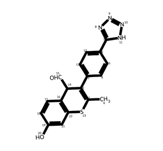 CC1=C(c2ccc(-c3nnn[nH]3)cc2)C(C=O)c2ccc(O)cc2S1